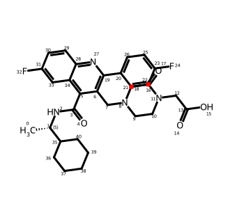 C[C@H](NC(=O)c1c(CN2CCN(CC(=O)O)C(=O)C2)c(-c2ccc(F)cc2)nc2ccc(F)cc12)C1CCCCC1